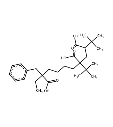 CCC(CCCCC(CC(C(=O)O)C(C)(C)C)(C(=O)O)C(C)(C)C)(Cc1ccccc1)C(=O)O